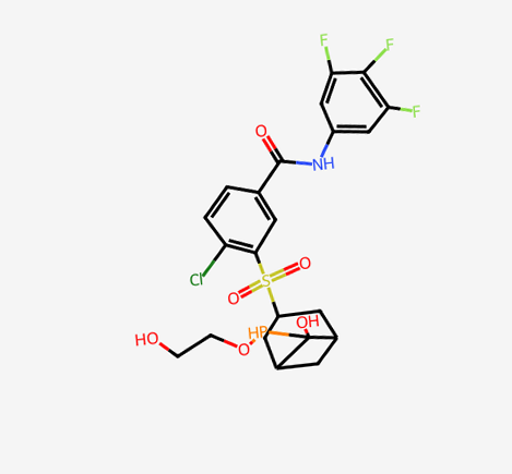 O=C(Nc1cc(F)c(F)c(F)c1)c1ccc(Cl)c(S(=O)(=O)C2CC3CC(C2)C3(O)POCCO)c1